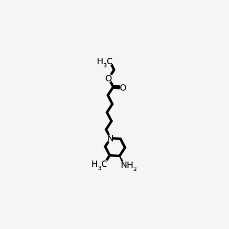 CCOC(=O)CCCCCN1CC[C@@H](N)C(C)C1